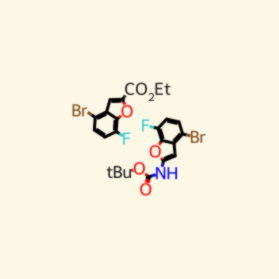 CC(C)(C)OC(=O)Nc1cc2c(Br)ccc(F)c2o1.CCOC(=O)c1cc2c(Br)ccc(F)c2o1